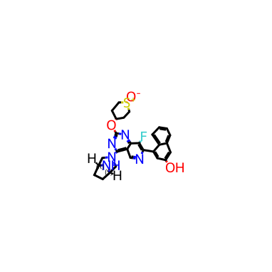 [O-][S+]1CCC(Oc2nc(N3C[C@H]4CC[C@@H](C3)N4)c3cnc(-c4cc(O)cc5ccccc45)c(F)c3n2)CC1